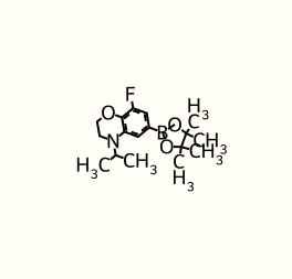 CC(C)N1CCOc2c(F)cc(B3OC(C)(C)C(C)(C)O3)cc21